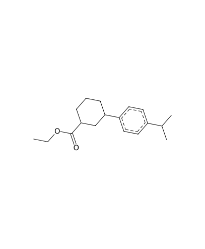 CCOC(=O)C1CCCC(c2ccc(C(C)C)cc2)C1